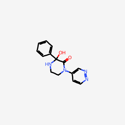 O=C1N(c2ccnnc2)CCNC1(O)c1ccccc1